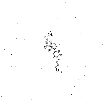 CCCCCc1ccc(-c2ccc3c(c2F)C(=O)OC(CC)C3)cc1